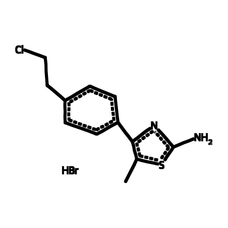 Br.Cc1sc(N)nc1-c1ccc(CCCl)cc1